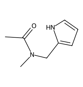 CC(=O)N(C)Cc1ccc[nH]1